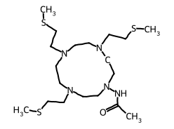 CSCCN1CCN(CCSC)CCN(NC(C)=O)CCN(CCSC)CC1